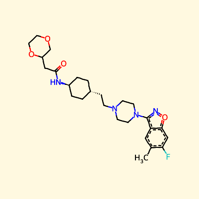 Cc1cc2c(N3CCN(CC[C@H]4CC[C@H](NC(=O)CC5COCCO5)CC4)CC3)noc2cc1F